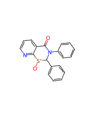 O=C1c2cccnc2[S+]([O-])C(c2ccccc2)N1c1ccccc1